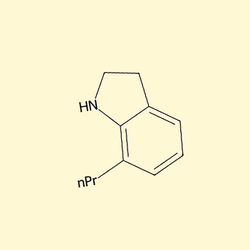 [CH2]CCc1cccc2c1NCC2